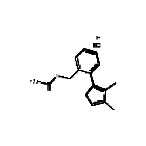 CCCC[NH][Ti][CH2]c1ccccc1C1=C(C)C(C)=CC1.Cl.Cl